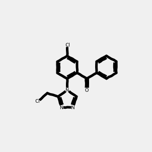 O=C(c1ccccc1)c1cc(Cl)ccc1-n1cnnc1CCl